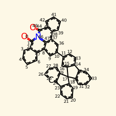 O=c1c2ccccc2c2cc(-c3ccc4c(c3)C3(c5ccccc5-c5ccccc53)c3ccccc3-4)cc3c4ccccc4c(=O)n1c23